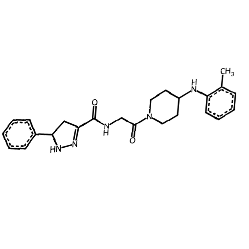 Cc1ccccc1NC1CCN(C(=O)CNC(=O)C2=NNC(c3ccccc3)C2)CC1